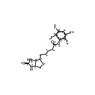 O=C1NC2CSC(CCCCC(=O)Oc3c(F)c(F)cc(F)c3F)C2N1